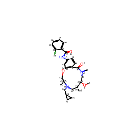 CO[C@@H]1CN(C)C(=O)c2ccc(NC(=O)c3ccccc3F)cc2OC[C@H](C)N(CC2CC2)C[C@@H]1C